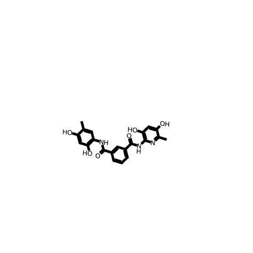 Cc1cc(NC(=O)c2cccc(C(=O)Nc3nc(C)c(O)cc3O)c2)c(O)cc1O